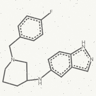 Fc1ccc(CN2CCCC(Nc3ccc4[nH]ncc4c3)C2)cc1